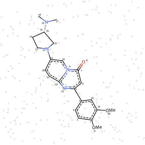 COc1ccc(-c2cc(=O)n3cc(N4CC[C@H](N(C)C)C4)ccc3n2)cc1OC